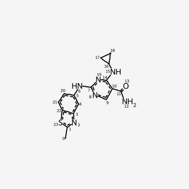 Cc1nc2cc(Nc3ncc(C(N)=O)c(NC4CC4)n3)ccc2s1